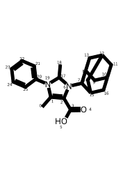 CC1=C(C(=O)O)N(C2C3CC4CC(C3)CC2C4)C(C)N1c1ccccc1